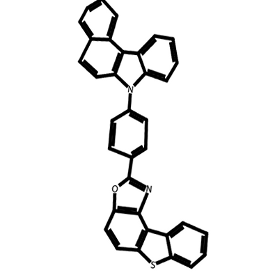 c1ccc2c(c1)ccc1c2c2ccccc2n1-c1ccc(-c2nc3c(ccc4sc5ccccc5c43)o2)cc1